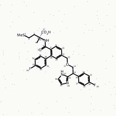 CSCC[C@](C)(NC(=O)c1ccc(COCC(c2ccc(F)cc2)c2ncc[nH]2)cc1-c1ccc(F)cc1)C(=O)O